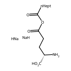 CCCCCCCC(=O)OC(=O)CC[C@H](N)C(=O)O.[NaH].[NaH]